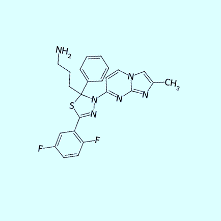 Cc1cn2ccc(N3N=C(c4cc(F)ccc4F)SC3(CCCN)c3ccccc3)nc2n1